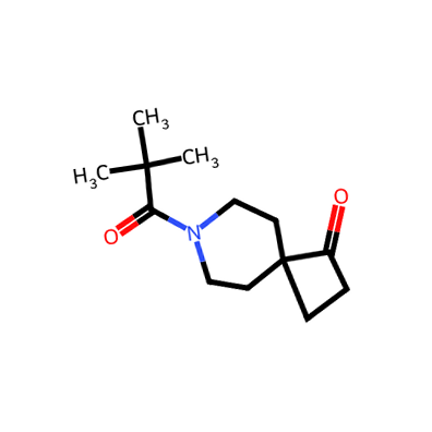 CC(C)(C)C(=O)N1CCC2(CCC2=O)CC1